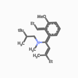 CC\C=c1/c(OC)ccc/c1=C(\C=C(/C)CC)N(C)CC(C)C(C)(C)C